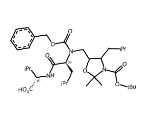 CC(C)CC1C(CN(C(=O)OCc2ccccc2)[C@@H](CC(C)C)C(=O)N[C@H](C(=O)O)C(C)C)OC(C)(C)N1C(=O)OC(C)(C)C